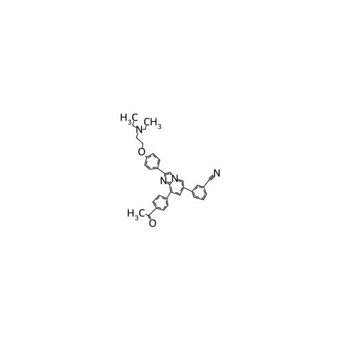 CCN(CC)CCOc1ccc(-c2cn3cc(-c4cccc(C#N)c4)cc(-c4ccc(C(C)=O)cc4)c3n2)cc1